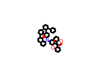 c1ccc(-c2ccccc2-c2ccc(N(c3ccc4c(c3)Oc3ccccc3C43c4ccccc4Oc4ccccc43)c3cccc4ccc5c6ccccc6oc5c34)cc2)cc1